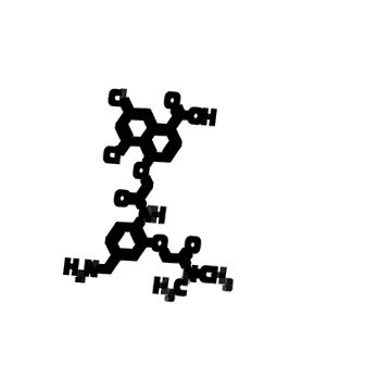 CN(C)C(=O)COc1cc(CN)ccc1NC(=O)COc1ccc(C(=O)O)c2cc(Cl)cc(Cl)c12